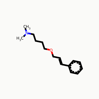 CN(C)CCCCOCC=Cc1ccccc1